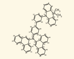 C[Si]1(C)c2ccccc2N(c2cccc(-c3ccc(N(c4cc5ccccc5c5ccccc45)c4cc5ccccc5c5ccccc45)cc3)c2)c2ccccc21